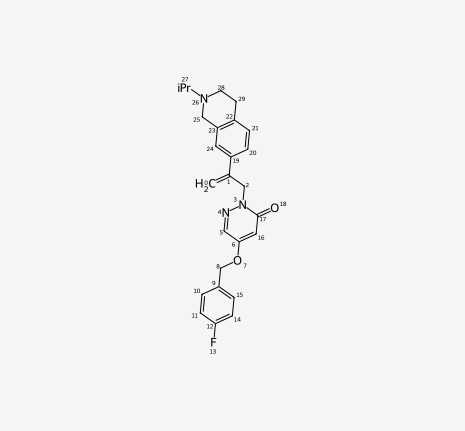 C=C(Cn1ncc(OCc2ccc(F)cc2)cc1=O)c1ccc2c(c1)CN(C(C)C)CC2